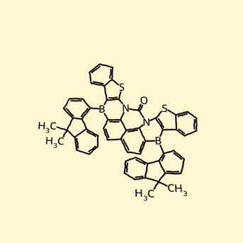 CC1(C)c2ccccc2-c2c(B3c4ccc5ccc6c7c5c4N(C(=O)N7c4sc5ccccc5c4B6c4cccc5c4-c4ccccc4C5(C)C)c4sc5ccccc5c43)cccc21